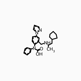 CC(CC1CCCCC1)NCc1cc(-n2cccn2)ccc1N(C(=O)O)c1ccccc1